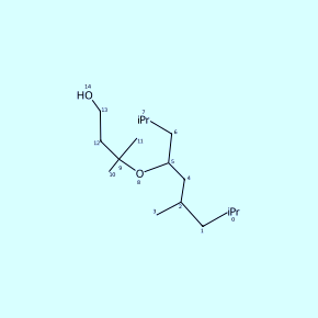 CC(C)CC(C)CC(CC(C)C)OC(C)(C)CCO